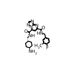 Cc1cc(CNC(=O)c2cc(C(=O)NC[C@H]3CC[C@H](N)CC3)n3ncnc3n2)ccc1F